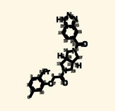 Cc1ccc(C(C)C)c(OCC(=O)N2C[C@@H]3CN(C(=O)c4ccc5[nH]nnc5c4)C[C@H]3C2)c1